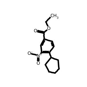 CCOC(=O)c1ccc(C2CCCCC2)c([N+](=O)[O-])c1